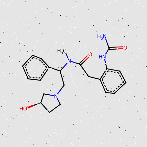 CN(C(=O)Cc1ccccc1NC(N)=O)C(CN1CC[C@@H](O)C1)c1ccccc1